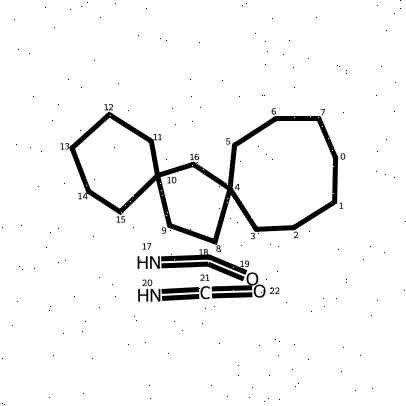 C1CCCC2(CCC1)CCC1(CCCCC1)C2.N=C=O.N=C=O